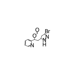 O=COC(CC1CC(Br)=NN1)c1ccccn1